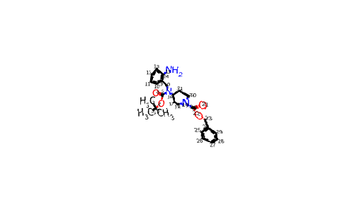 CC(C)(C)OC(=O)N(Cc1ccccc1N)C1CCN(C(=O)OCc2ccccc2)CC1